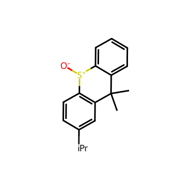 CC(C)c1ccc2c(c1)C(C)(C)c1ccccc1[S+]2[O-]